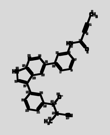 CC#CC(=O)Nc1cccc(-c2cnc3[nH]cc(-c4cccc([S+]([O-])N(C)C(C)(C)C)c4)c3c2)c1